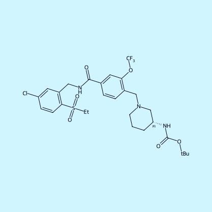 CCS(=O)(=O)c1ccc(Cl)cc1CNC(=O)c1ccc(CN2CCC[C@@H](NC(=O)OC(C)(C)C)C2)c(OC(F)(F)F)c1